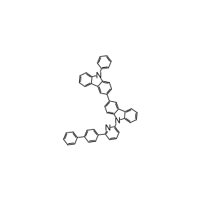 c1ccc(-c2ccc(-c3cccc(-n4c5ccccc5c5cc(-c6ccc7c(c6)c6ccccc6n7-c6ccccc6)ccc54)n3)cc2)cc1